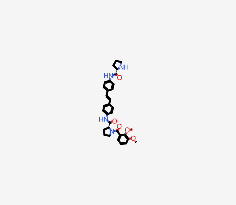 COc1cccc(C(=O)N2CCC[C@H]2C(=O)Nc2ccc(/C=C/c3ccc(NC(=O)[C@@H]4CCCN4)cc3)cc2)c1OC